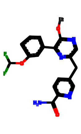 CCOc1ncc(Cc2ccc(C(N)=O)nc2)nc1-c1cccc(OC(F)F)c1